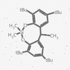 CC1c2cc(C(C)(C)C)cc(C(C)(C)C)c2O[Si](C)(C)Oc2c1cc(C(C)(C)C)cc2C(C)(C)C